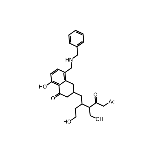 CC(=O)CC(=O)C(CO)C(CCO)CC1CC(=O)c2c(O)ccc(CNCc3ccccc3)c2C1